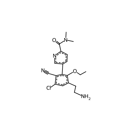 CCOc1c(CCN)cc(Cl)c(C#N)c1-c1ccc(C(=O)N(C)C)nc1